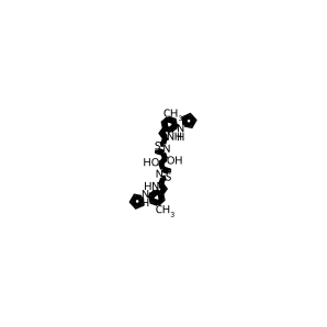 Cc1cc(NC2CCCC2)c2[nH]c(-c3nc(C(O)C(O)c4csc(-c5cc6cc(C)cc(NC7CCCC7)c6[nH]5)n4)cs3)cc2c1